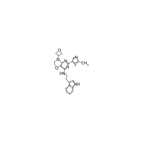 Cc1ncc(-c2nc(NCCc3c[nH]c4ccccc34)c3c(n2)N(C2COC2)CCO3)s1